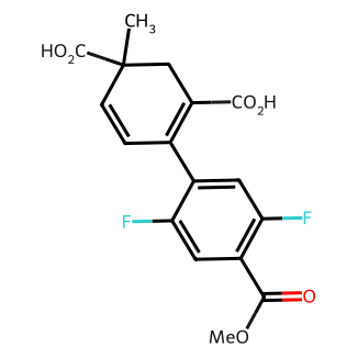 COC(=O)c1cc(F)c(C2=C(C(=O)O)CC(C)(C(=O)O)C=C2)cc1F